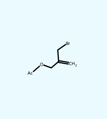 C=C(CBr)COC(C)=O